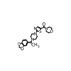 C[C@@H](c1ccc2c(c1)OCO2)N1CCN(c2ncc(C(=O)N3CCOCC3)s2)CC1